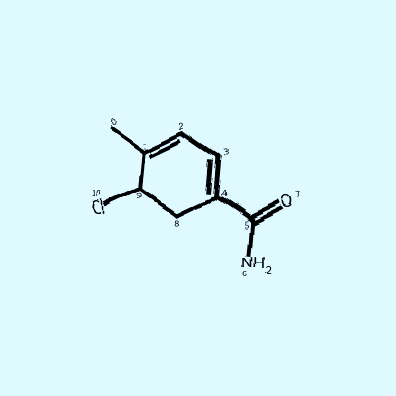 CC1=CC=C(C(N)=O)CC1Cl